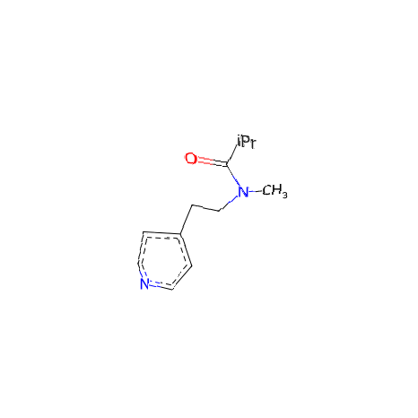 CC(C)C(=O)N(C)CCc1ccncc1